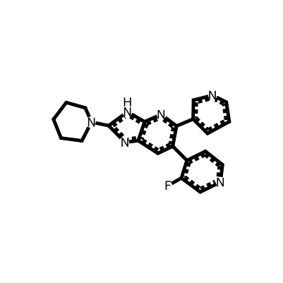 Fc1cnccc1-c1cc2nc(N3CCCCC3)[nH]c2nc1-c1cccnc1